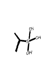 CC(C)[Si](O)(O)O